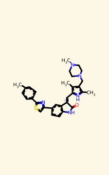 Cc1ccc(-c2nc(-c3ccc4c(c3)/C(=C/c3[nH]c(C)c(CN5CCN(C)CC5)c3C)C(=O)N4)cs2)cc1